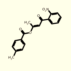 C/C(=C\C(=O)c1ccccc1[N+](=O)[O-])OC(=O)c1ccc(C)cc1